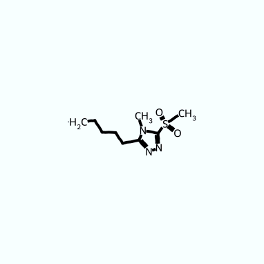 [CH2]CCCCc1nnc(S(C)(=O)=O)n1C